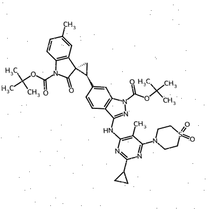 Cc1ccc2c(c1)[C@]1(C[C@H]1c1ccc3c(Nc4nc(C5CC5)nc(N5CCS(=O)(=O)CC5)c4C)nn(C(=O)OC(C)(C)C)c3c1)C(=O)N2C(=O)OC(C)(C)C